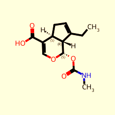 CCC1=CC[C@@H]2C(C(=O)O)=CO[C@@H](OC(=O)NC)[C@@H]12